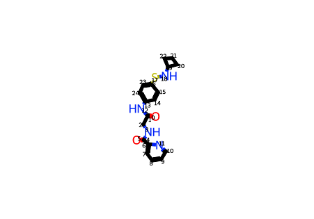 O=C(CNC(=O)c1ccccn1)Nc1ccc(SNC2CCC2)cc1